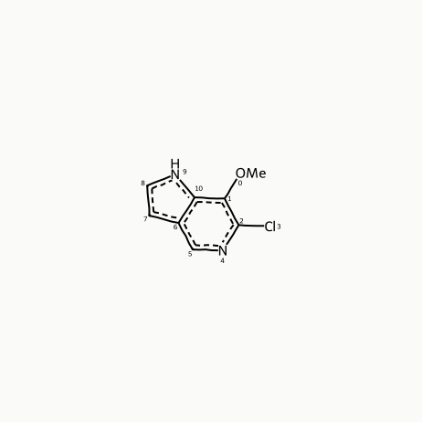 COc1c(Cl)ncc2cc[nH]c12